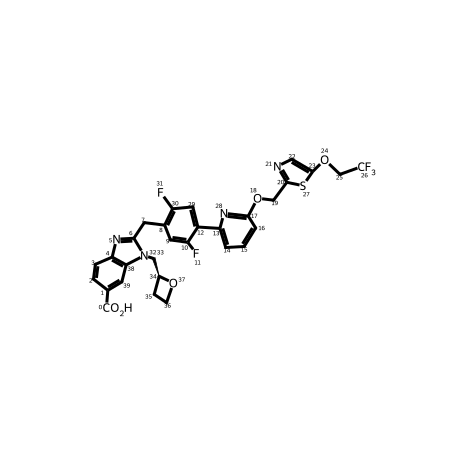 O=C(O)c1ccc2nc(Cc3cc(F)c(-c4cccc(OCc5ncc(OCC(F)(F)F)s5)n4)cc3F)n(C[C@@H]3CCO3)c2c1